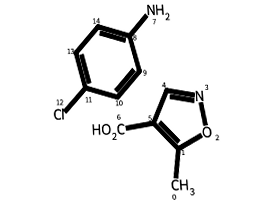 Cc1oncc1C(=O)O.Nc1ccc(Cl)cc1